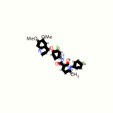 COc1cc2nccc(Oc3ccc(NC(=O)c4ccc(C)n(-c5ccc(F)cc5)c4=O)cc3F)c2cc1OC